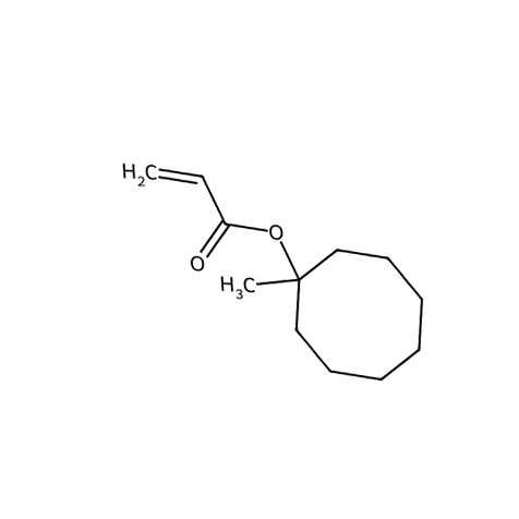 C=CC(=O)OC1(C)CCCCCCC1